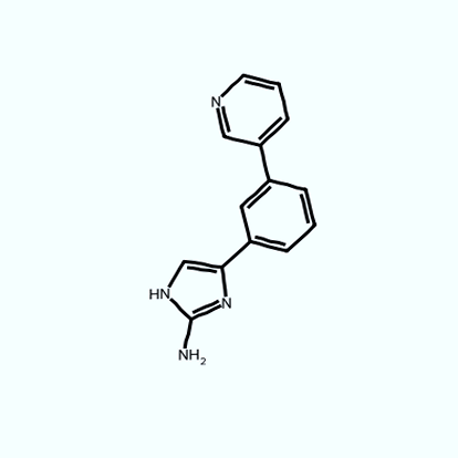 Nc1nc(-c2cccc(-c3cccnc3)c2)c[nH]1